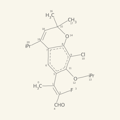 CC(=C(F)C=O)c1cc2c(c(Cl)c1OC(C)C)OC(C)(C)C=C2C(C)C